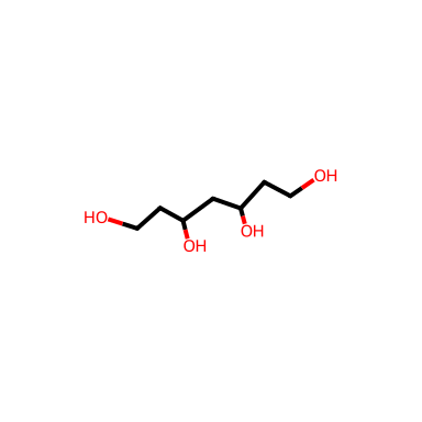 OCCC(O)CC(O)CCO